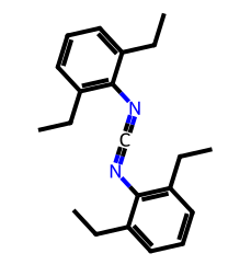 CCc1cccc(CC)c1N=C=Nc1c(CC)cccc1CC